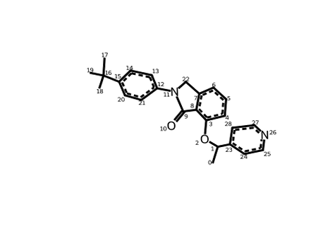 CC(Oc1cccc2c1C(=O)N(c1ccc(C(C)(C)C)cc1)C2)c1ccncc1